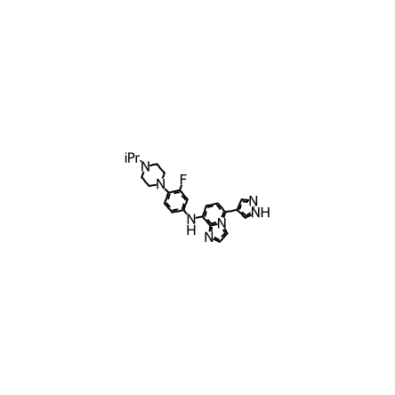 CC(C)N1CCN(c2ccc(Nc3ccc(-c4cn[nH]c4)n4ccnc34)cc2F)CC1